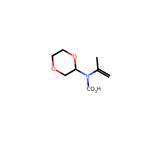 C=C(C)N(C(=O)O)C1COCCO1